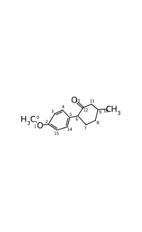 COc1ccc(C2CCC(C)CC2=O)cc1